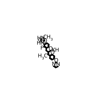 CNS(=O)(=O)Nc1cccc(Cc2c(C)c3ccc(Oc4ncccn4)cc3oc2=O)c1F.[KH]